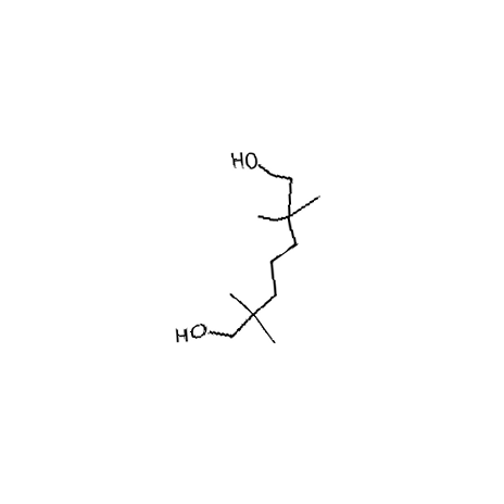 CC(C)(CO)CCCC(C)(C)CO